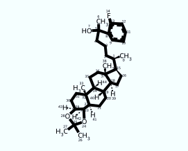 C[C@H](CCCC(C)(O)c1ccccc1F)[C@H]1CC[C@H]2[C@@H]3CC[C@H]4[C@H]5OC(C)(C)O[C@H]5CC[C@]4(C)[C@H]3CC[C@]12C